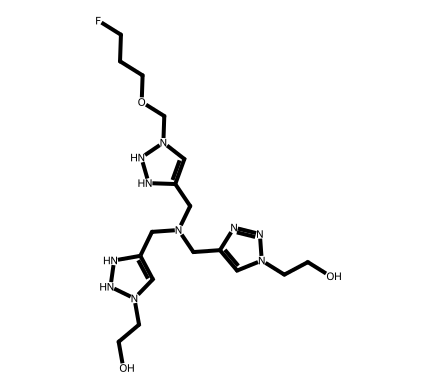 OCCN1C=C(CN(CC2=CN(COCCCF)NN2)Cc2cn(CCO)nn2)NN1